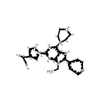 CCn1c(-c2ccncc2)nc2c(N3CCOCC3)nc(-n3cc(C(F)F)cn3)nc21